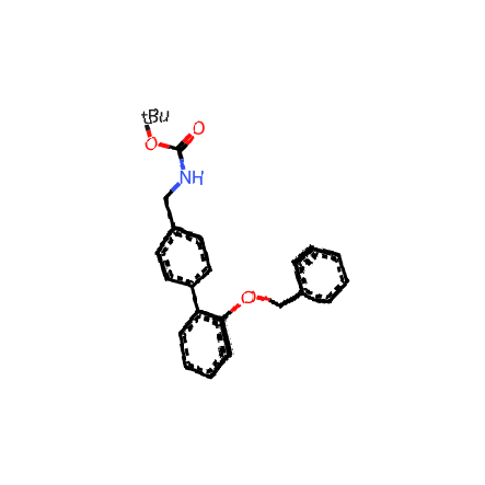 CC(C)(C)OC(=O)NCc1ccc(-c2ccccc2OCc2ccccc2)cc1